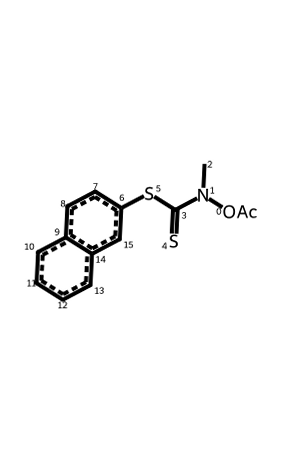 CC(=O)ON(C)C(=S)Sc1ccc2ccccc2c1